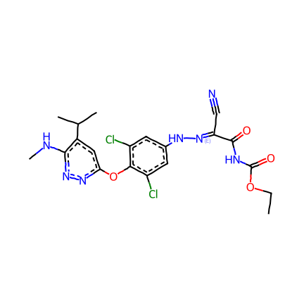 CCOC(=O)NC(=O)/C(C#N)=N/Nc1cc(Cl)c(Oc2cc(C(C)C)c(NC)nn2)c(Cl)c1